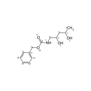 CC(O)CC(O)CNC(=O)OCc1ccccc1